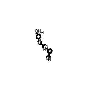 Cn1cc(-c2cccc(-c3ncc(-c4cnn([C@H]5CC[C@@](O)(CO)CC5)c4)cn3)c2)cn1